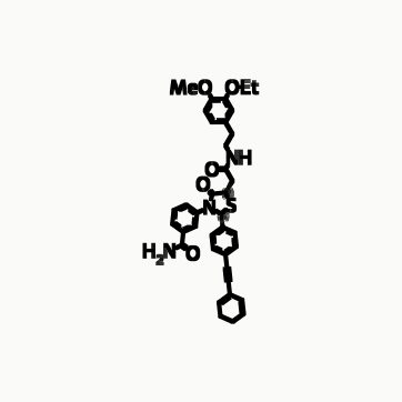 CCOc1cc(CCNC(=O)C[C@H]2S[C@@H](c3ccc(C#CC4=CCCC=C4)cc3)N(c3cccc(C(N)=O)c3)C2=O)ccc1OC